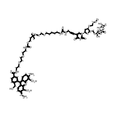 CCSSCO[C@@H]1C[C@H](n2cc(C#CCNC(=O)NCCCCCOCSSC(C)(C)CCOC(=O)NCCOCCOCCNC(=O)c3ccc(CO)c(-c4c5cc/c(=N/N)c(S(=O)(=O)O)c-5oc5c(S(=O)(=O)O)c(N)ccc45)c3)c(=O)[nH]c2=O)O[C@@H]1COP(=O)(O)OP(=O)(O)OP(=O)(O)O